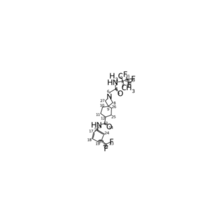 CC(C)(NC(=O)CN1CC2(CCC(C(=O)Nc3cccc(C(F)F)c3)CC2)C1)C(F)(F)F